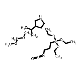 CC(N)C1CCNC1.CCO[Si](CCCN=C=O)(OCC)OCC.CO[SiH2]OC